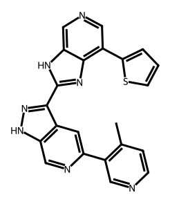 Cc1ccncc1-c1cc2c(-c3nc4c(-c5cccs5)cncc4[nH]3)n[nH]c2cn1